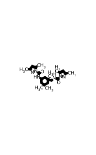 Cc1cc(C)n(C(=O)NCC2(C)CC(NC(=O)n3nc(C)cc3C)CC(C)(C)C2)n1